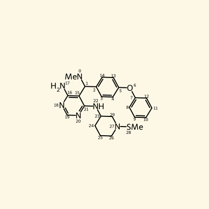 CNC(c1ccc(Oc2ccccc2)cc1)c1c(N)ncnc1NC1CCCN(SC)C1